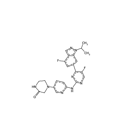 CC(C)n1ncc2c(F)cc(-c3nc(Nc4ccc(N5CCNC(=O)C5)cn4)ncc3F)cc21